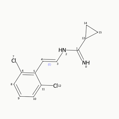 N=C(N/C=C/c1c(Cl)cccc1Cl)C1CC1